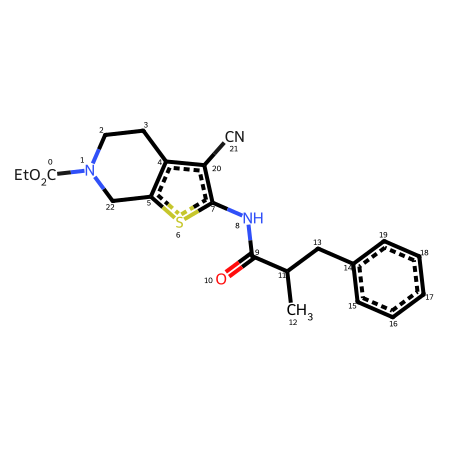 CCOC(=O)N1CCc2c(sc(NC(=O)C(C)Cc3ccccc3)c2C#N)C1